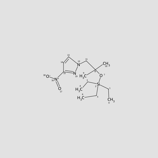 CC[Si](CC)(CC)OC(C)(C)Cn1ccc([N+](=O)[O-])n1